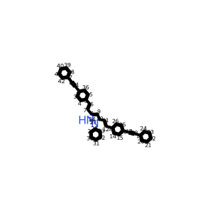 C(#Cc1ccc(C=CC2=CC(C=Cc3ccc(C#Cc4ccccc4)cc3)N(c3ccccc3)N2)cc1)c1ccccc1